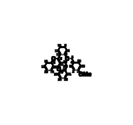 COc1ccc(COc2ccccc2-c2oc3ccccc3c(=O)c2CCc2ccccc2)cc1